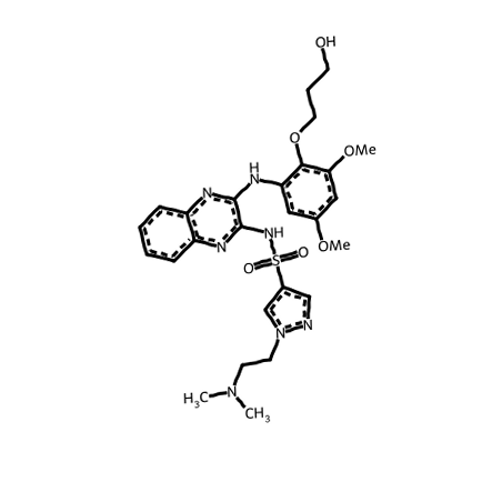 COc1cc(Nc2nc3ccccc3nc2NS(=O)(=O)c2cnn(CCN(C)C)c2)c(OCCCO)c(OC)c1